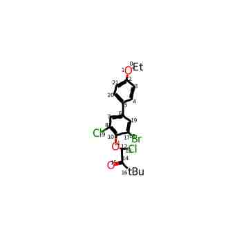 CCOc1ccc(-c2cc(Cl)c(OC(Cl)C(=O)C(C)(C)C)c(Br)c2)cc1